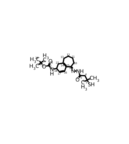 CC(C)(S)CC(=O)NN=C1CCCCC2=C1C=CC(NC(=O)OC(C)(C)C)C2